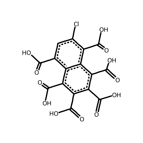 O=C(O)c1c(C(=O)O)c(C(=O)O)c2c(C(=O)O)c(Cl)cc(C(=O)O)c2c1C(=O)O